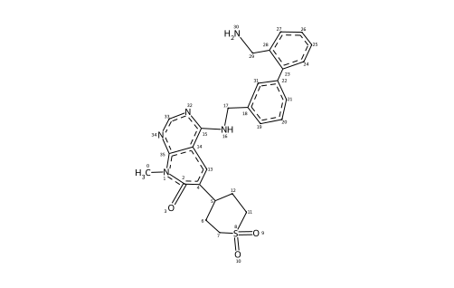 Cn1c(=O)c(C2CCS(=O)(=O)CC2)cc2c(NCc3cccc(-c4ccccc4CN)c3)ncnc21